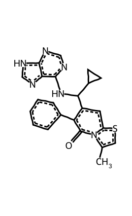 Cc1csc2cc(C(Nc3ncnc4[nH]cnc34)C3CC3)c(-c3ccccc3)c(=O)n12